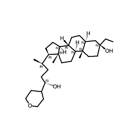 CC[C@]1(O)CC[C@@]2(C)[C@@H](CC[C@@H]3[C@@H]2CC[C@]2(C)[C@@H]([C@H](C)CC[C@H](O)C4CCOCC4)CC[C@@H]32)C1